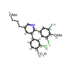 COCCCc1cnc(-c2cc(F)c(OC)c(F)c2)c(-c2ccc(C(=O)O)c(Cl)c2)c1